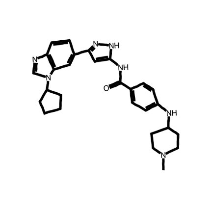 CN1CCC(Nc2ccc(C(=O)Nc3cc(-c4ccc5ncn(C6CCCC6)c5c4)n[nH]3)cc2)CC1